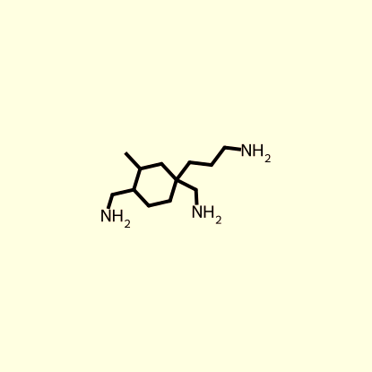 CC1CC(CN)(CCCN)CCC1CN